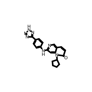 O=c1ccc2cnc(Nc3ccc(-c4nn[nH]n4)cc3)cc2n1C1CCCC1